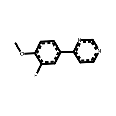 COc1ccc(-c2ccncn2)cc1F